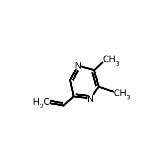 C=Cc1cnc(C)c(C)n1